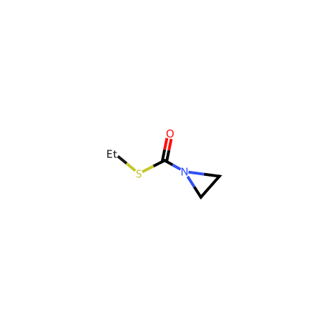 CCSC(=O)N1CC1